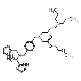 CCCN(CCC)CCCCN(CC(=O)OCCOC)Cc1ccc(CN(Cc2ncc[nH]2)C(C)c2ncc[nH]2)cc1